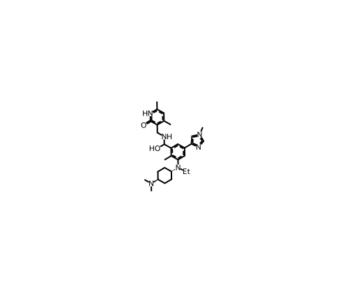 CCN(c1cc(-c2cn(C)cn2)cc(C(O)NCc2c(C)cc(C)[nH]c2=O)c1C)[C@H]1CC[C@H](N(C)C)CC1